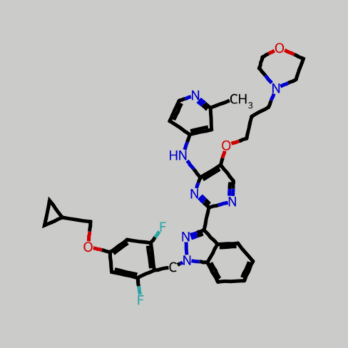 Cc1cc(Nc2nc(-c3nn(Cc4c(F)cc(OCC5CC5)cc4F)c4ccccc34)ncc2OCCCN2CCOCC2)ccn1